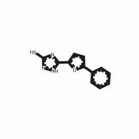 Sc1n[nH]c(-c2ccc(-c3ccccc3)o2)n1